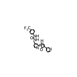 O=C(NCc1ccnc(-n2[nH]cc(-c3cccnc3)c2=O)c1)Nc1ccc(C(F)(F)F)cc1